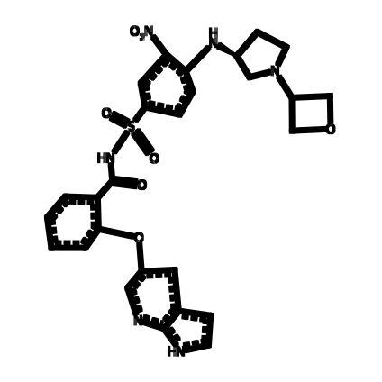 O=C(NS(=O)(=O)c1ccc(N[C@H]2CCN(C3COC3)C2)c([N+](=O)[O-])c1)c1ccccc1Oc1cnc2[nH]ccc2c1